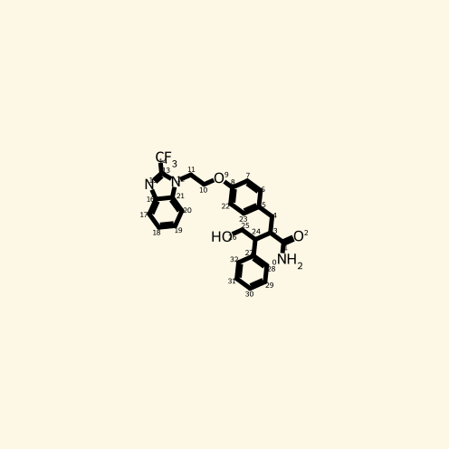 NC(=O)C(Cc1ccc(OCCn2c(C(F)(F)F)nc3ccccc32)cc1)C(CO)c1ccccc1